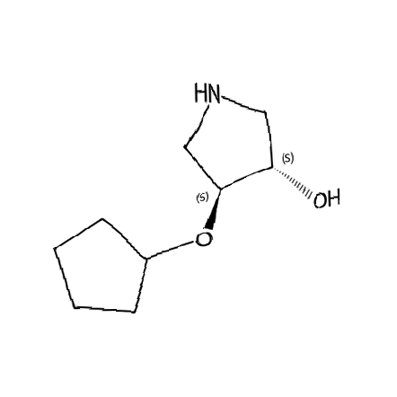 O[C@H]1CNC[C@@H]1OC1CCCC1